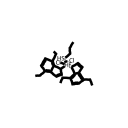 CCC[SiH]=[Hf]([Cl])([Cl])([CH]1C=Cc2c(CC)ccc(CC)c21)[CH]1C=Cc2c(CC)ccc(CC)c21